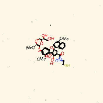 COc1ccc([C@@]23Oc4cc(O[C@@H]5O[C@@H](C(O)CO)CO[C@H]5OC)cc(OC)c4[C@]2(O)[C@H](O)[C@H](C(=O)NCCS)[C@H]3c2ccccc2)cc1